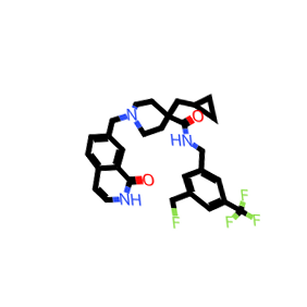 O=C(NCc1cc(CF)cc(C(F)(F)F)c1)C1(CC2CC2)CCN(Cc2ccc3cc[nH]c(=O)c3c2)CC1